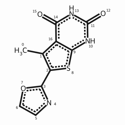 Cc1c(-c2ncco2)sc2[nH]c(=O)[nH]c(=O)c12